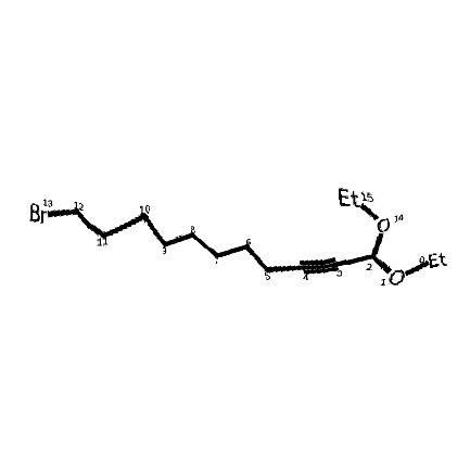 CCOC(C#CCCCCCCCCBr)OCC